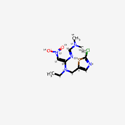 CCN(Cc1cnc(Cl)s1)C(=C/[N+](=O)[O-])/N=C/N(C)C